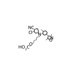 Cc1ccc(-c2c(C)noc2C)cc1N(CCCCCOCC(=O)O)c1ccc(C#N)c(Cl)c1